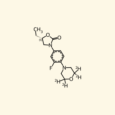 [2H]C1([2H])CN(c2ccc(N3C[C@H](CC)OC3=O)cc2F)CC([2H])([2H])O1